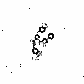 Cn1nnc2cc(CNC(=O)[C@@H]3C[C@@H](Cc4ccc5c(c4)OCO5)CN3C(=O)[C@H]3C[C@@H](c4ccccc4)CN3)ccc21